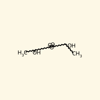 CCCCCCC(O)CCCCCCCCCCC(=O)OC(=O)CCCCCCC/C=C\C[C@H](O)CCCCCC